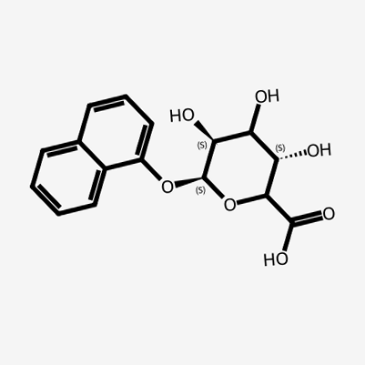 O=C(O)C1O[C@@H](Oc2cccc3ccccc23)[C@@H](O)C(O)[C@@H]1O